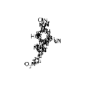 N#CCCOP1(=S)OC[C@H]2C[C@@H](n3cnc4c(Cl)ncnc43)[C@@H]2COP(O)(=S)OC[C@H]2O[C@@H](n3cnc4c(OCCc5ccc([N+](=O)[O-])cc5)nc5nccn5c43)[C@H](F)[C@@H]2O1